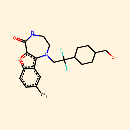 O=C1NCCN(CC(F)(F)C2CCC(CO)CC2)c2c1oc1ccc(C(F)(F)F)cc21